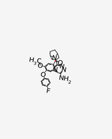 COc1cc(C(=O)N2C3CCC2CC(c2ccc(N)nn2)C3)ncc1Oc1ccc(F)cc1